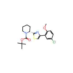 COc1ccc(Cl)cc1-c1csc([C@H]2CCCCN2C(=O)OC(C)(C)C)n1